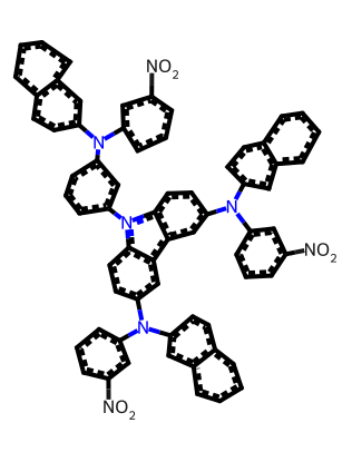 O=[N+]([O-])c1cccc(N(c2cccc(-n3c4ccc(N(c5cccc([N+](=O)[O-])c5)c5ccc6ccccc6c5)cc4c4cc(N(c5cccc([N+](=O)[O-])c5)c5ccc6ccccc6c5)ccc43)c2)c2ccc3ccccc3c2)c1